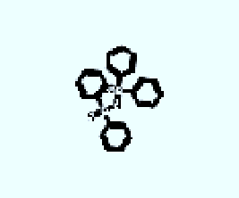 CCP(=NP(=S)(c1ccccc1)c1ccccc1)(c1ccccc1)c1ccccc1